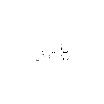 CC(C)(C)OC(=O)N1CCC(c2cccnc2C2COC2)CC1